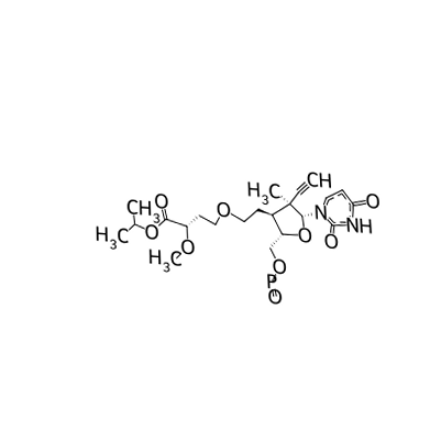 C#C[C@]1(C)[C@H](CCOCC[C@H](OC)C(=O)OC(C)C)[C@@H](COP=O)O[C@H]1n1ccc(=O)[nH]c1=O